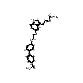 CC(=O)NCCc1csc2ccc(OCCOc3ccc(-c4ccc(C(=O)O)cc4)cc3)cc12